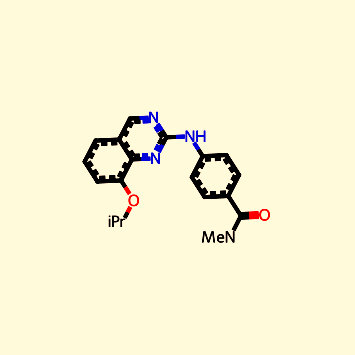 CNC(=O)c1ccc(Nc2ncc3cccc(OC(C)C)c3n2)cc1